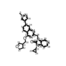 Cn1cc(-c2ccc3c(OCC4CCOC4)nc(Cn4c(=O)n(C5CC5)c5ccncc54)nc3c2)cn1